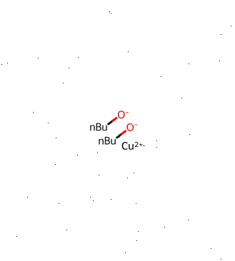 CCCC[O-].CCCC[O-].[Cu+2]